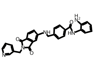 Nc1ccccc1NC(=O)c1ccc(CNc2ccc3c(c2)C(=O)N(Cc2cccnc2)C3=O)cc1